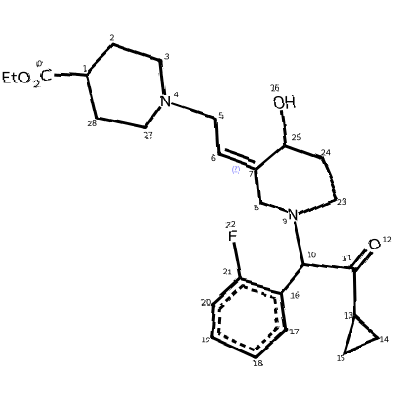 CCOC(=O)C1CCN(C/C=C2/CN(C(C(=O)C3CC3)c3ccccc3F)CCC2O)CC1